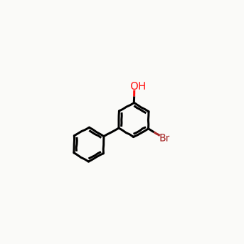 Oc1cc(Br)cc(-c2ccccc2)c1